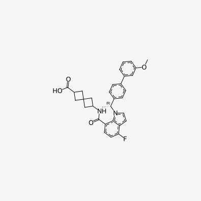 COc1cccc(-c2ccc([C@@H](C)n3ccc4c(F)ccc(C(=O)NC5CC6(C5)CC(C(=O)O)C6)c43)cc2)c1